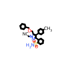 Cc1ccc(-c2c(-c3ccccc3S(N)(=O)=O)nn(CC#N)c2COCc2ccccc2)cc1